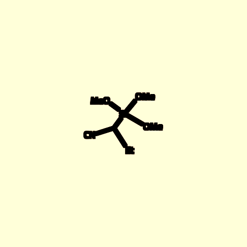 [C-]#[N+]C(CC)[Si](OC)(OC)OC